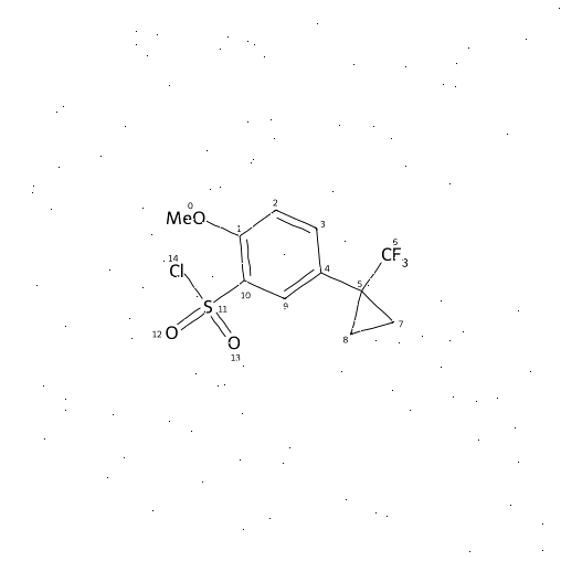 COc1ccc(C2(C(F)(F)F)CC2)cc1S(=O)(=O)Cl